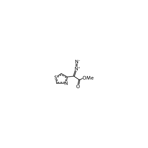 COC(=O)C(=[N+]=[N-])c1cscn1